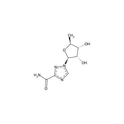 C[C@@H]1O[C@H](n2cnc(C(N)=O)n2)[C@@H](O)[C@H]1O